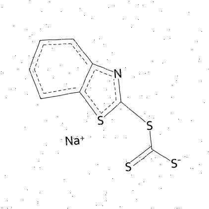 S=C([S-])Sc1nc2ccccc2s1.[Na+]